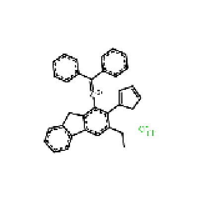 CCc1cc2c([c]([Zr+2]=[C](c3ccccc3)c3ccccc3)c1C1=CC=CC1)Cc1ccccc1-2.[Cl-].[Cl-]